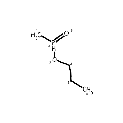 CCCO[PH](C)=O